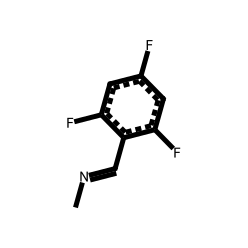 C/N=C/c1c(F)cc(F)cc1F